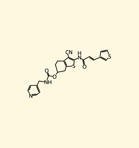 N#Cc1c(NC(=O)C=Cc2ccsc2)sc2c1CCC(OC(=O)NCc1ccncc1)C2